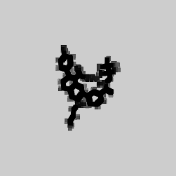 C=C(NCC(F)(F)C(C)(F)F)c1cccc(-c2cc3c(cc2NCCCF)CCC(c2ccc(F)cc2)=C3C(=O)NC)c1